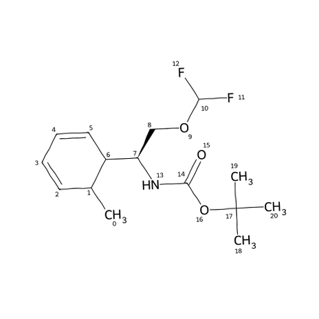 CC1C=CC=CC1[C@@H](COC(F)F)NC(=O)OC(C)(C)C